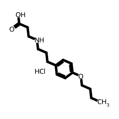 CCCCOc1ccc(CCCNCCC(=O)O)cc1.Cl